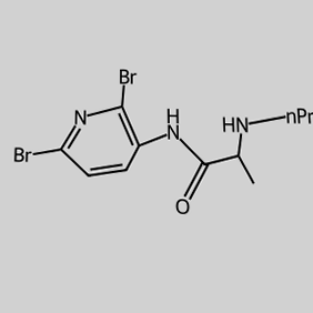 CCCNC(C)C(=O)Nc1ccc(Br)nc1Br